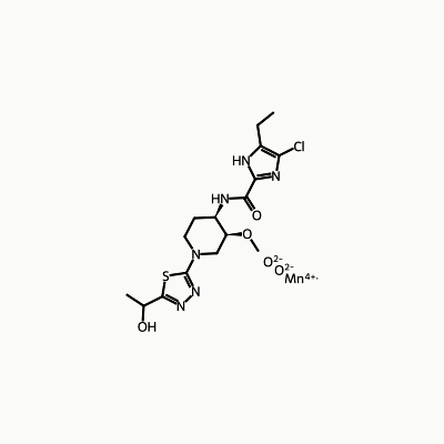 CCc1[nH]c(C(=O)N[C@@H]2CCN(c3nnc(C(C)O)s3)C[C@@H]2OC)nc1Cl.[Mn+4].[O-2].[O-2]